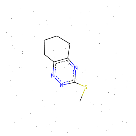 CSc1nnc2c(n1)CCCC2